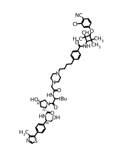 Cc1ncsc1-c1ccc([C@H](CO)NC(=O)[C@@H]2C[C@@H](O)CN2C(=O)C(NC(=O)CN2CCN(CCCCc3ccc(C(=O)NC4C(C)(C)C(Oc5ccc(C#N)c(Cl)c5)C4(C)C)cc3)CC2)C(C)(C)C)cc1